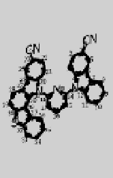 N#Cc1ccc2c(c1)c1ccccc1n2-c1cccc(-n2c3ccc(C#N)cc3c3ccc4sc5ccccc5c4c32)n1